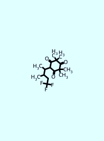 CC(CC(F)(F)F)C(C)C1C(=O)C(C)(C)C(=O)C(C)(C)C1=O